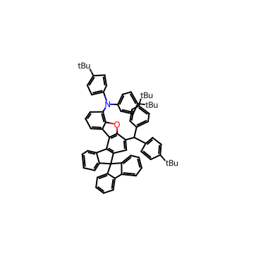 CC(C)(C)c1ccc(C(c2ccc(C(C)(C)C)cc2)c2cc3c(c4c2oc2c(N(c5ccc(C(C)(C)C)cc5)c5ccc(C(C)(C)C)cc5)cccc24)-c2ccccc2C32c3ccccc3-c3ccccc32)cc1